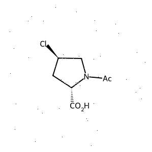 CC(=O)N1C[C@H](Cl)C[C@H]1C(=O)O